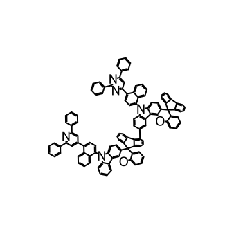 c1ccc(-c2cc(-c3ccc(-n4c5ccccc5c5c6c(ccc54)C4(c5ccccc5O6)c5ccccc5-c5c(-c6ccc7c(c6)c6c8c(ccc6n7-c6ccc(-c7cc(-c9ccccc9)nc(-c9ccccc9)n7)c7ccccc67)C6(c7ccccc7O8)c7ccccc7-c7ccccc76)cccc54)c4ccccc34)cc(-c3ccccc3)n2)cc1